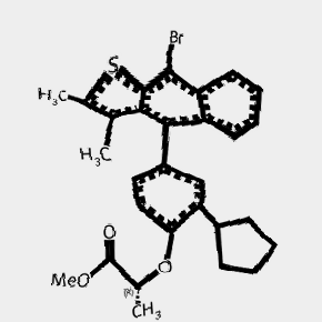 COC(=O)[C@@H](C)Oc1ccc(-c2c3ccccc3c(Br)c3sc(C)c(C)c23)cc1C1CCCC1